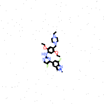 CCOc1cc(Nc2ncc(F)c(-c3cc(F)c4nn(C)cc4c3)n2)c(OCC)cc1CN1CCN(CC)CC1